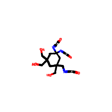 O=C=NCC1(CO)CC(CO)(CO)CC(N=C=O)(N=C=O)C1